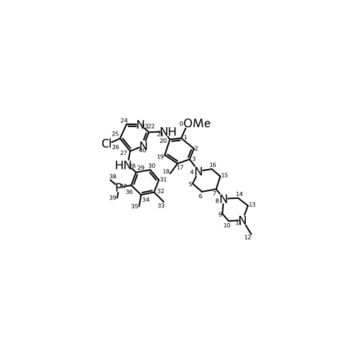 COc1cc(N2CCC(N3CCN(C)CC3)CC2)c(C)cc1Nc1ncc(Cl)c(Nc2ccc(C)c(C)c2P(C)C)n1